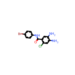 Nc1cc(Cl)c(C(=O)Nc2ccc(Br)cc2)cc1N